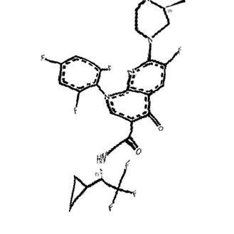 C[C@H]1CN(c2nc3c(cc2F)c(=O)c(C(=O)N[C@@H](C2CC2)C(F)(F)F)cn3-c2c(F)cc(F)cc2F)CCN1